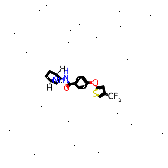 O=C(N[C@@H]1C[C@H]2CC[C@@H]1N2)c1ccc(Oc2cc(C(F)(F)F)cs2)cc1